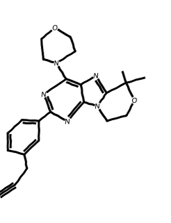 C#CCc1cccc(-c2nc(N3CCOCC3)c3nc4n(c3n2)CCOC4(C)C)c1